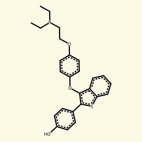 CCN(CC)CCOc1ccc(Oc2c(-c3ccc(O)cc3)sc3ccccc23)cc1